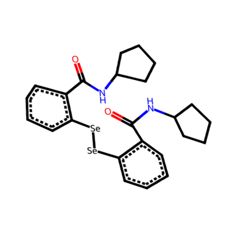 O=C(NC1CCCC1)c1ccccc1[Se][Se]c1ccccc1C(=O)NC1CCCC1